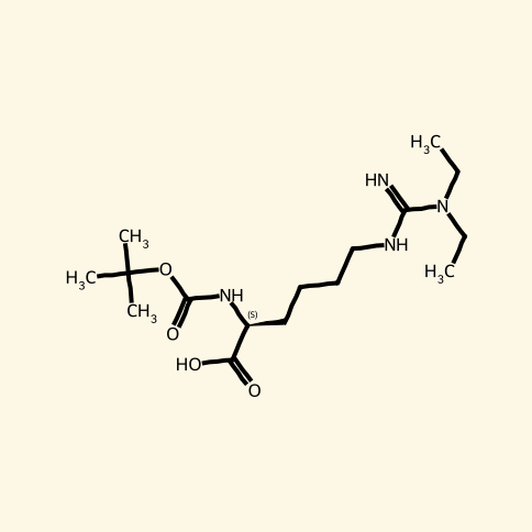 CCN(CC)C(=N)NCCCC[C@H](NC(=O)OC(C)(C)C)C(=O)O